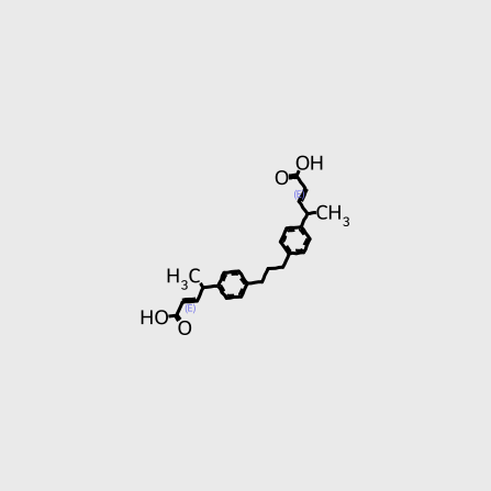 CC(/C=C/C(=O)O)c1ccc(CCCc2ccc(C(C)/C=C/C(=O)O)cc2)cc1